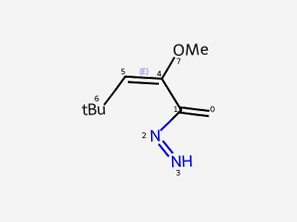 C=C(N=N)/C(=C\C(C)(C)C)OC